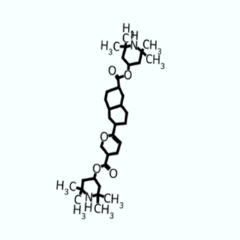 CC1(C)CC(OC(=O)C2CC=C(C3CCC4CC(C(=O)OC5CC(C)(C)NC(C)(C)C5)CCC4C3)OC2)CC(C)(C)N1